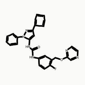 O=C(Nc1ccc(F)c(COc2cnccn2)c1)Nc1cc(-c2ccccc2)nn1-c1ccccc1